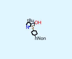 CCCCCCCCCc1ccc(SCC(O)(c2cccnc2)C(C)(C)C)cc1